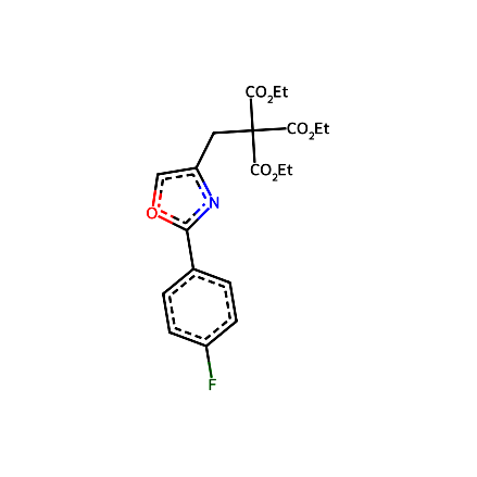 CCOC(=O)C(Cc1coc(-c2ccc(F)cc2)n1)(C(=O)OCC)C(=O)OCC